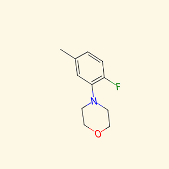 Cc1ccc(F)c(N2CCOCC2)c1